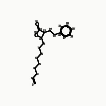 C=CCCCCCCCC1OC(=O)C1CCc1ccccc1